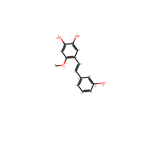 COc1cc(O)c(O)cc1/C=C/c1cccc(O)c1